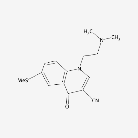 CSc1ccc2c(c1)c(=O)c(C#N)cn2CCN(C)C